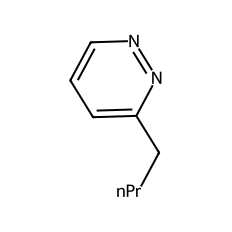 CCCCc1cccnn1